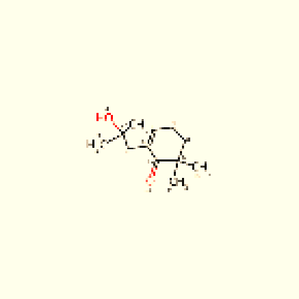 CC(C)(O)CC1=CCCC(C)(C)C1=O